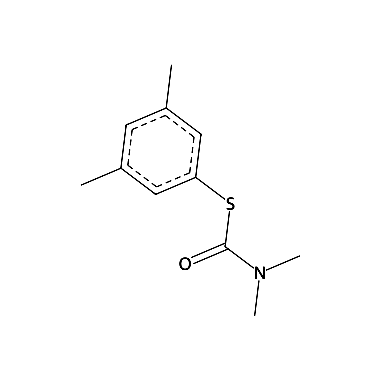 Cc1cc(C)cc(SC(=O)N(C)C)c1